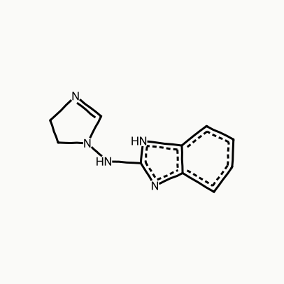 C1=NCCN1Nc1nc2ccccc2[nH]1